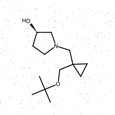 CC(C)(C)OCC1(CN2CC[C@@H](O)C2)CC1